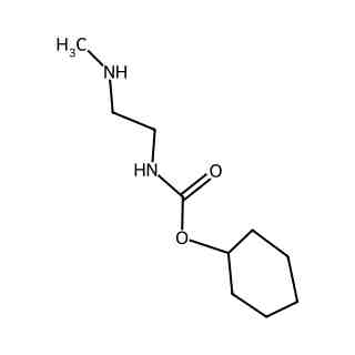 CNCCNC(=O)OC1CCCCC1